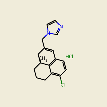 CC12CCCc3c(Cl)ccc(c31)C=C(Cn1ccnc1)C2.Cl